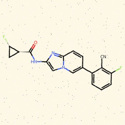 N#Cc1c(F)cccc1-c1ccc2nc(NC(=O)[C@@H]3C[C@@H]3F)cn2c1